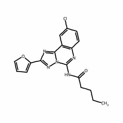 CCCCC(=O)Nc1nc2ccc(Cl)cc2c2nc(-c3ccco3)nn12